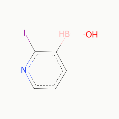 OBc1cccnc1I